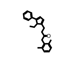 CCC1C(CCC(=O)Cc2c(C)cccc2C)=CC=C1c1ccccc1